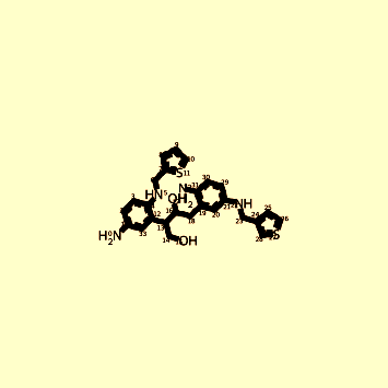 Nc1ccc(NCc2cccs2)c(C(CO)C(O)Cc2cc(NCc3ccsc3)ccc2N)c1